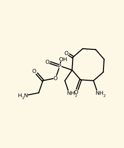 NCC(=O)OP(=O)(O)C1(CN)C(=O)CCCCC(N)C1=O